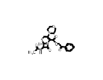 CC(=O)NC1C(=O)N2C(C(=O)OCC(=O)c3ccccc3)=C(N3CCOCC3)CS[C@H]12